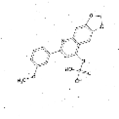 COc1cccc(-c2cc(OP(=O)(O)O)c3cc4c(cc3n2)OCO4)c1